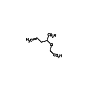 C=CCC(OCC(=O)O)C(=O)O